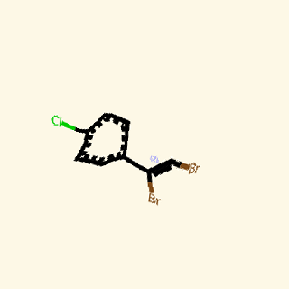 Clc1ccc(/C(Br)=C/Br)cc1